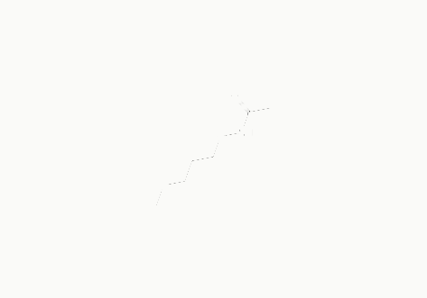 CSCCCONC(C)=O